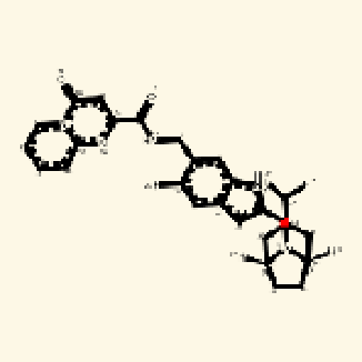 O=C(NCc1cc2[nH]c(CN3[C@@H]4CC[C@H]3CC(C(F)F)C4)cc2cc1F)c1cc(=O)n2ccccc2n1